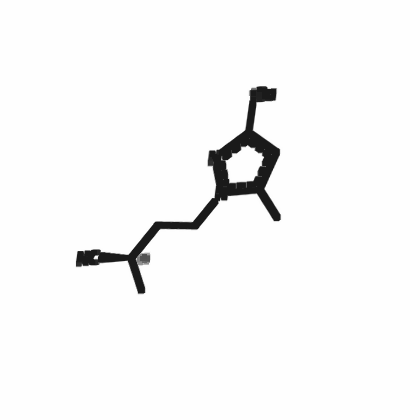 Cc1cc(C(C)(C)C)nn1CC[C@@H](C)C#N